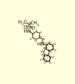 CC(C)S(=O)(=O)NC1CCC(CNc2cccc3c2Cc2ccccc2-3)CC1